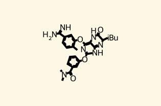 CCC(C)C1N=C2NC(Oc3cccc(C(=O)N(C)C)c3)=NC(Oc3cc(C(=N)N)ccc3C)=C2NC1=O